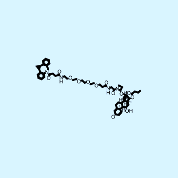 CCCC1O[C@@H]2C[C@H]3[C@@H]4CCC5=CC(=O)C=C[C@]5(C)[C@H]4[C@@H](O)C[C@]3(C)[C@]2(C(=O)COC2CCN2C(=O)CNC(=O)CCOCCOCCOCCOCCNC(=O)CCC(=O)N2Cc3ccccc3C3=C(C3)c3ccccc32)O1